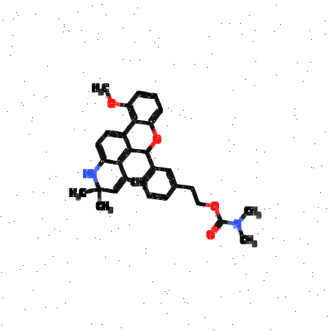 COc1cccc2c1-c1ccc3c(c1C(c1cccc(CCOC(=O)N(C)C)c1)O2)C(C)=CC(C)(C)N3